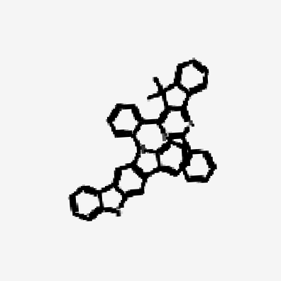 CC1(C)c2ccccc2-c2nc(-c3ccccc3)nc(-c3ccccc3-n3c4ccccc4c4cc5sc6ccccc6c5cc43)c21